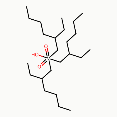 CCCCC(CC)[CH2][V](=[O])(=[O])([OH])([CH2]C(CC)CCCC)[CH2]C(CC)CCCC